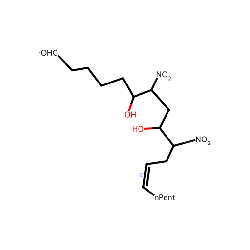 CCCCC/C=C\CC(C(O)CC(C(O)CCCC[C]=O)[N+](=O)[O-])[N+](=O)[O-]